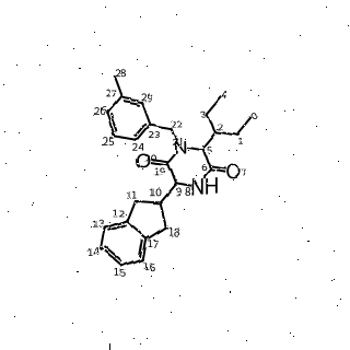 CCC(CC)C1C(=O)NC(C2Cc3ccccc3C2)C(=O)N1Cc1cccc(C)c1